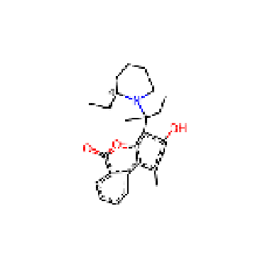 CC[C@H]1CCCCN1C(C)(CC)c1c(O)cc(C)c2c1oc(=O)c1ccccc12